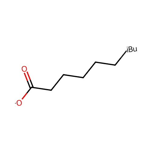 CCC(C)CCCCCC([O])=O